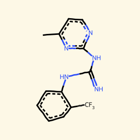 Cc1ccnc(NC(=N)Nc2ccccc2C(F)(F)F)n1